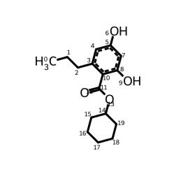 CCCc1cc(O)cc(O)c1C(=O)OC1CCCCC1